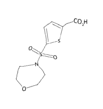 O=C(O)c1ccc(S(=O)(=O)N2CCOCC2)s1